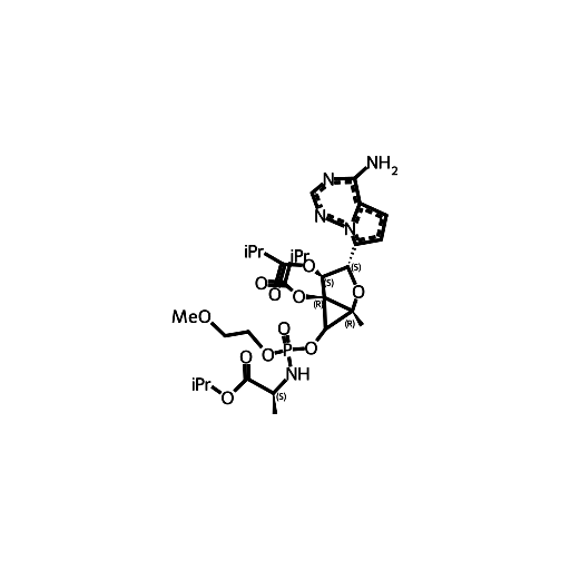 COCCOP(=O)(N[C@@H](C)C(=O)OC(C)C)OC1[C@@]2(C)O[C@@H](c3ccc4c(N)ncnn34)[C@H](OC(=O)C(C)C)[C@@]12OC(=O)C(C)C